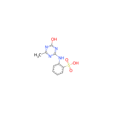 Cc1nc(O)nc(Nc2ccccc2S(=O)(=O)O)n1